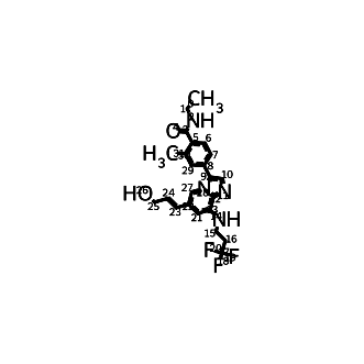 CCNC(=O)c1ccc(-c2cnc3c(NCCC(F)(F)F)cc(C=CCO)cn23)cc1C